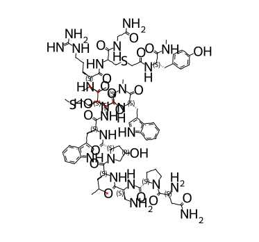 CCCC[C@@H](C(=O)N(C)[C@@H](CCSC)C(=O)N[C@@H](CCCNC(=N)N)C(=O)NC(CSCC(=O)N[C@@H](Cc1ccc(O)cc1)C(=O)NC)C(=O)NCC(N)=O)N(C)C(=O)[C@H](Cc1c[nH]c2ccccc12)NC(=O)[C@H](CO)NC(=O)[C@H](Cc1c[nH]c2ccccc12)NC(=O)[C@@H]1C[C@@H](O)CN1C(=O)[C@H](CC(C)C)NC(=O)[C@H](CN)NC(=O)[C@@H]1CCCN1C(=O)[C@@H](N)CC(N)=O